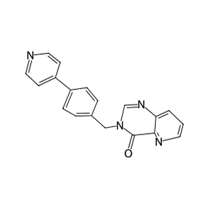 O=c1c2ncccc2ncn1Cc1ccc(-c2ccncc2)cc1